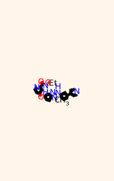 CCONC(=O)c1cc(Oc2ccc3c(c2)nc(Nc2cccc(-c4ccncc4)c2)n3C)ccn1